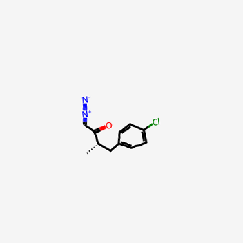 C[C@@H](Cc1ccc(Cl)cc1)C(=O)C=[N+]=[N-]